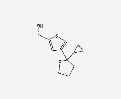 OCc1cc(C2(C3CC3)CCCO2)cs1